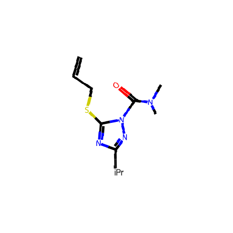 C=CCSc1nc(C(C)C)nn1C(=O)N(C)C